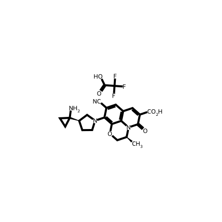 C[C@H]1COc2c(N3CC[C@@H](C4(N)CC4)C3)c(C#N)cc3cc(C(=O)O)c(=O)n1c23.O=C(O)C(F)(F)F